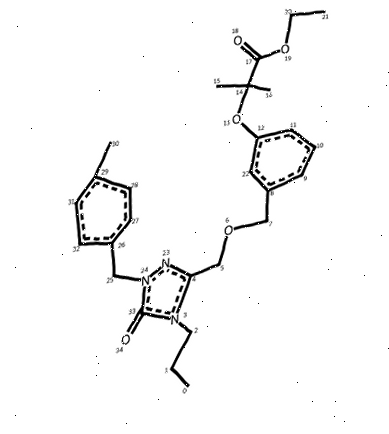 CCCn1c(COCc2cccc(OC(C)(C)C(=O)OCC)c2)nn(Cc2ccc(C)cc2)c1=O